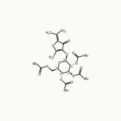 CC(C)=C1OC(C)=C(O[C@@H]2O[C@H](COC(=O)C(C)(C)C)[C@@H](OC(=O)C(C)(C)C)[C@H](OC(=O)C(C)(C)C)[C@H]2OC(=O)C(C)(C)C)C1=O